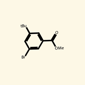 COC(=O)c1cc(Br)cc(C(C)(C)C)c1